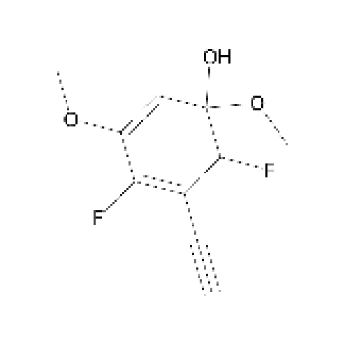 C#CC1=C(F)C(OC)=CC(O)(OC)C1F